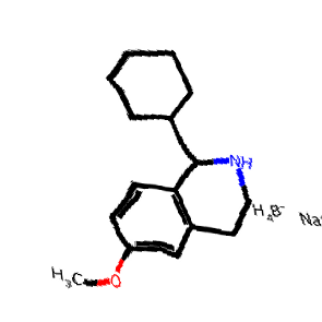 COc1ccc2c(c1)CCNC2C1CCCCC1.[BH4-].[Na+]